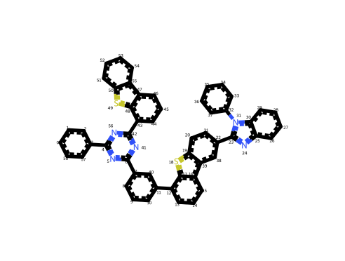 c1ccc(-c2nc(-c3cccc(-c4cccc5c4sc4ccc(-c6nc7ccccc7n6-c6ccccc6)cc45)c3)nc(-c3cccc4c3sc3ccccc34)n2)cc1